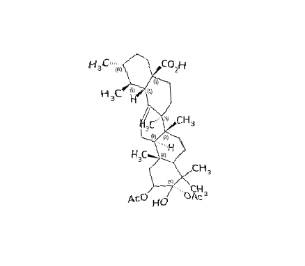 CC(=O)OC1C[C@@]2(C)C(CC[C@]3(C)[C@@H]2CC=C2[C@@H]4[C@@H](C)[C@H](C)CC[C@]4(C(=O)O)CC[C@]23C)C(C)(C)[C@]1(O)OC(C)=O